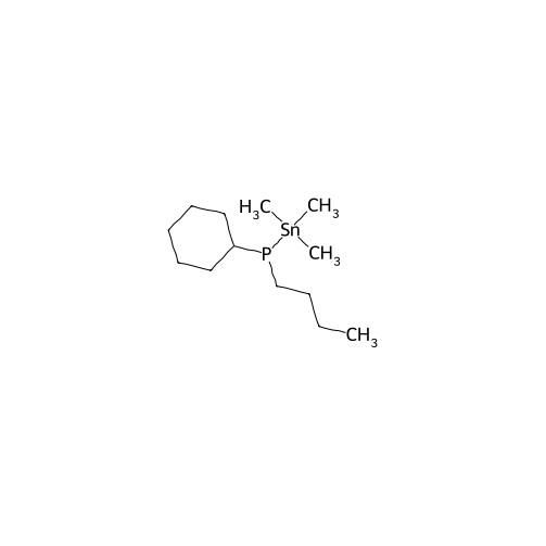 CCCC[P](C1CCCCC1)[Sn]([CH3])([CH3])[CH3]